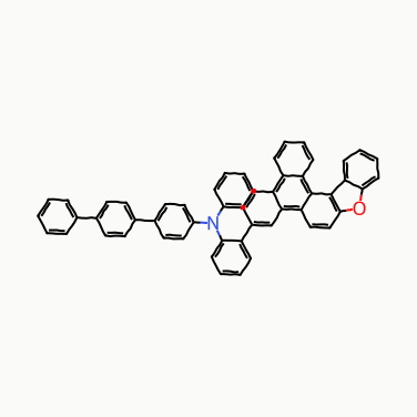 c1ccc(-c2ccc(-c3ccc(N(c4ccccc4)c4ccccc4-c4ccc5c6ccccc6c6c(ccc7oc8ccccc8c76)c5c4)cc3)cc2)cc1